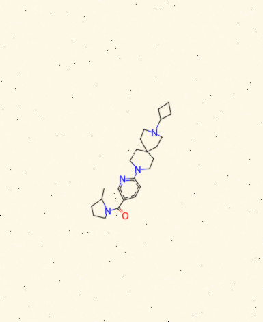 CC1CCCN1C(=O)c1ccc(N2CCC3(CC2)CCN(C2CCC2)CC3)nc1